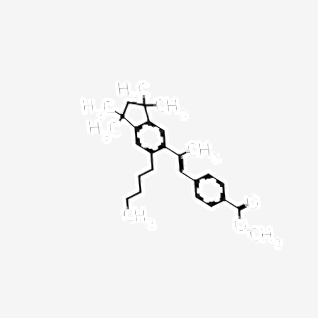 CCCCCc1cc2c(cc1C(C)=Cc1ccc(C(=O)OC)cc1)C(C)(C)CC2(C)C